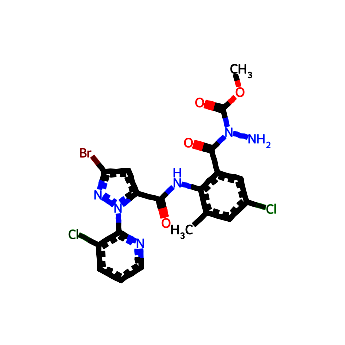 COC(=O)N(N)C(=O)c1cc(Cl)cc(C)c1NC(=O)c1cc(Br)nn1-c1ncccc1Cl